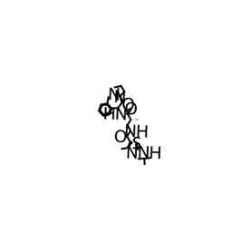 Cc1nc(NC(C)(C)C)sc1C(=O)NC[C@@H](C)C(=O)N[C@@H]1C(=O)N2CCCN2Cc2ccccc21